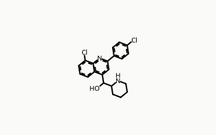 OC(c1cc(-c2ccc(Cl)cc2)nc2c(Cl)cccc12)C1CCCCN1